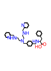 O=C(O)C(Cc1ccccc1)NCc1ccc(CN(CCNCc2ccccn2)CCNCc2ccccn2)cc1